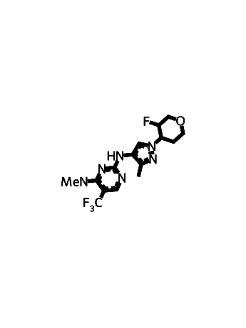 CNc1nc(Nc2cn(C3CCOCC3F)nc2C)ncc1C(F)(F)F